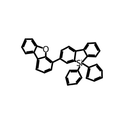 c1ccc([Si]2(c3ccccc3)c3ccccc3-c3ccc(-c4cccc5c4oc4ccccc45)cc32)cc1